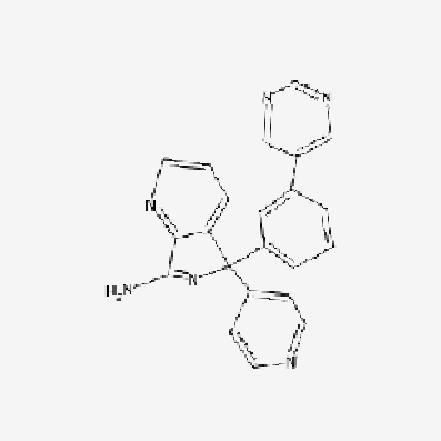 NC1=NC(c2ccncc2)(c2cccc(-c3cncnc3)c2)c2cccnc21